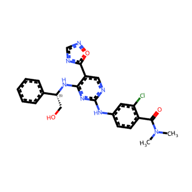 CN(C)C(=O)c1ccc(Nc2ncc(-c3ncno3)c(N[C@H](CO)c3ccccc3)n2)cc1Cl